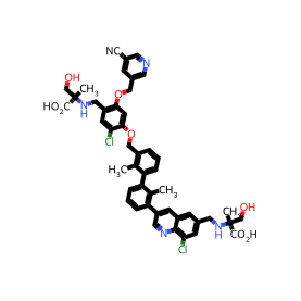 Cc1c(COc2cc(OCc3cncc(C#N)c3)c(CNC(C)(CO)C(=O)O)cc2Cl)cccc1-c1cccc(-c2cnc3c(Cl)cc(CNC(C)(CO)C(=O)O)cc3c2)c1C